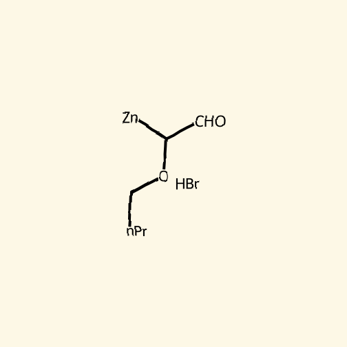 Br.CCCCO[CH]([Zn])C=O